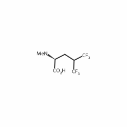 CN[C@@H](CC(C(F)(F)F)C(F)(F)F)C(=O)O